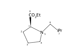 CCOC(=O)[C@@H]1CCCN1CC(C)C